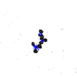 c1ccc(-c2nc(-c3ccccc3)nc(-c3cccc(-c4ccc(-n5c6ccccc6c6c7ccc8c(ccn8-c8ccccc8)c7ccc65)cc4)c3)n2)cc1